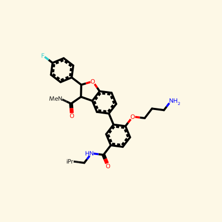 CNC(=O)C1c2cc(-c3cc(C(=O)NCC(C)C)ccc3OCCCN)ccc2OC1c1ccc(F)cc1